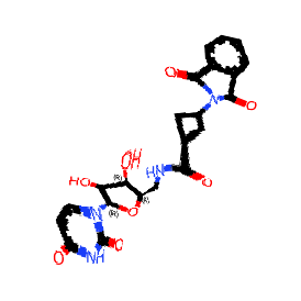 O=C(NC[C@H]1O[C@@H](n2ccc(=O)[nH]c2=O)C(O)[C@H]1O)C1CC(N2C(=O)c3ccccc3C2=O)C1